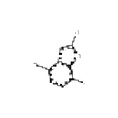 Cc1ccc(Cl)c2sc(Cl)nc12